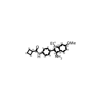 CCn1c(-c2ccc(NC(=O)C3CCC3)cc2)c(N)c2ccc(OC)cc21